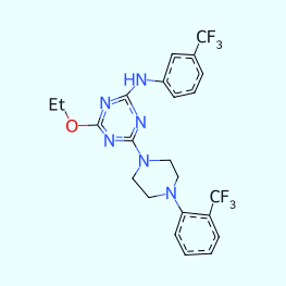 CCOc1nc(Nc2cccc(C(F)(F)F)c2)nc(N2CCN(c3ccccc3C(F)(F)F)CC2)n1